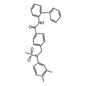 Cc1ccc(N(Cc2ccc(C(=O)Nc3ccccc3-c3ccccc3)cc2)S(C)(=O)=O)cc1C